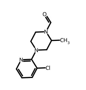 CC1CN(c2ncccc2Cl)CCN1C=O